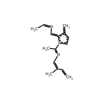 C=C/C(C)=C\N=C(/C)n1ccc(=C)/c1=C\N=C/C